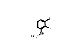 O=C(O)Nc1ccnc(Br)c1Br